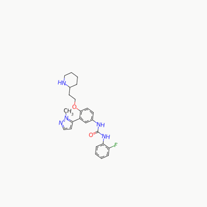 Cn1nccc1-c1cc(NC(=O)Nc2ccccc2F)ccc1OCCC1CCCCN1